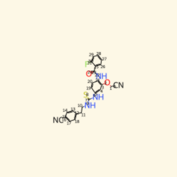 N#CCOc1cc(NC(=S)NCCc2ccc(C#N)cc2)ccc1NC(=O)c1ccccc1F